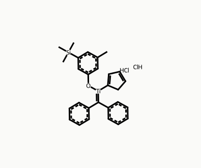 Cc1cc([O][Ti]([C]2=CC=CC2)=[C](c2ccccc2)c2ccccc2)cc([Si](C)(C)C)c1.Cl.Cl